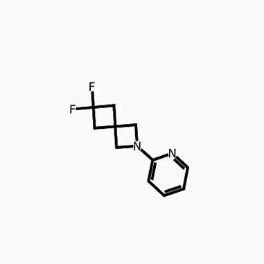 FC1(F)CC2(CN(c3ccccn3)C2)C1